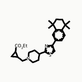 CCOC(=O)C1CC1CN1CCC(c2nc(-c3ccc4c(c3)C(C)(C)CCC4(C)C)cs2)CC1